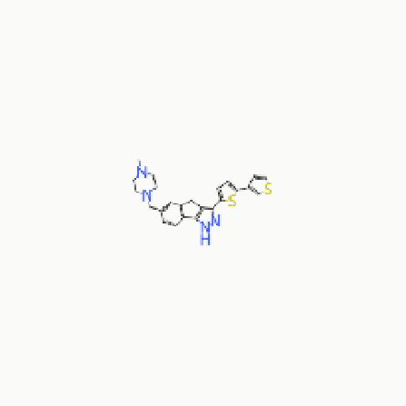 CN1CCN(Cc2ccc3c(c2)Cc2c(-c4ccc(-c5ccsc5)s4)n[nH]c2-3)CC1